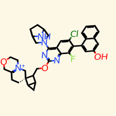 Oc1cc(-c2c(Cl)cc3c(N4CC5CCC(C4)N5)nc(OCC4C5CC5[C@]45CCC4=[N+](CCOC4)C5)nc3c2F)c2ccccc2c1